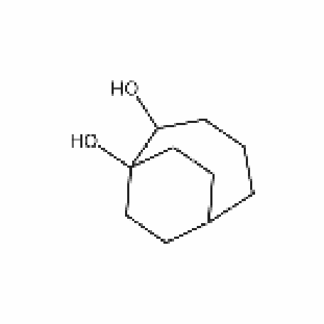 OC1CCCC2CCC1(O)CC2